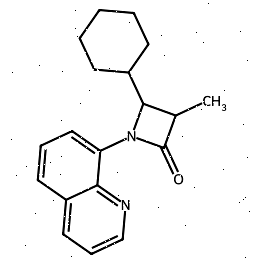 CC1C(=O)N(c2cccc3cccnc23)C1C1CCCCC1